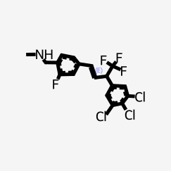 CNCc1ccc(/C=C/C(c2cc(Cl)c(Cl)c(Cl)c2)C(F)(F)F)cc1F